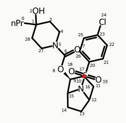 CCCC1(O)CCN(C(=O)O[C@H]2CCC3CCC2N3S(=O)(=O)c2ccc(Cl)cc2)CC1